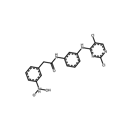 O=C(Cc1cccc([NH+]([O-])O)c1)Nc1cccc(Nc2nc(Cl)ncc2Cl)c1